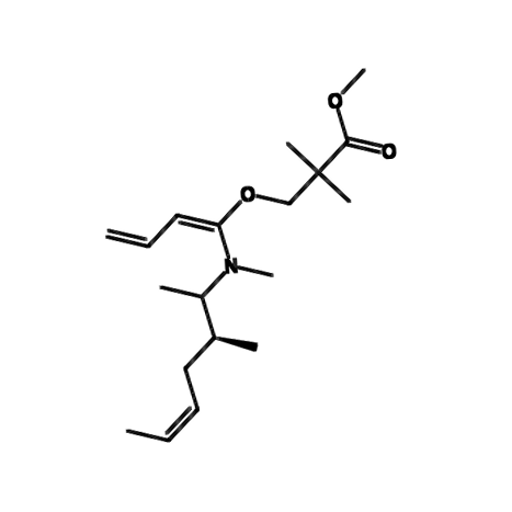 C=C/C=C(/OCC(C)(C)C(=O)OC)N(C)C(C)[C@@H](C)C/C=C\C